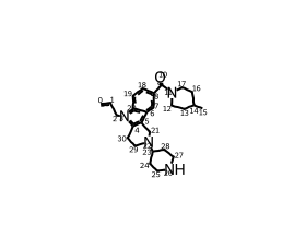 C=CCn1c2c(c3cc(C(=O)N4CCC(C)CC4)ccc31)CN(C1CCNCC1)CC2